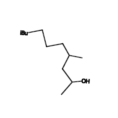 CCC(C)CCCC(C)CC(C)O